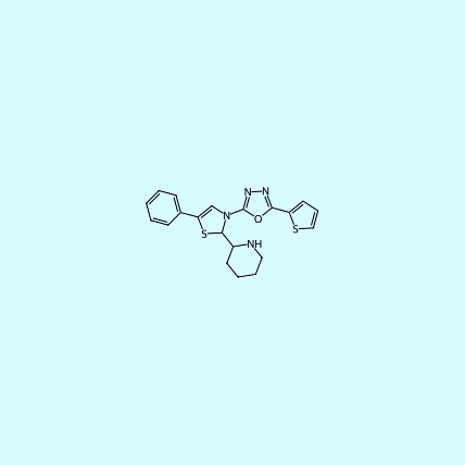 C1=C(c2ccccc2)SC(C2CCCCN2)N1c1nnc(-c2cccs2)o1